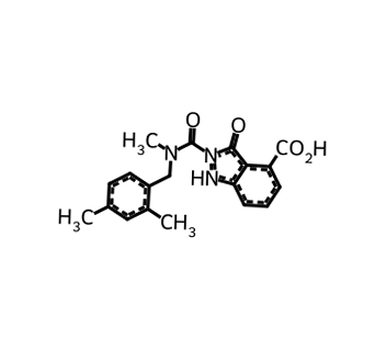 Cc1ccc(CN(C)C(=O)n2[nH]c3cccc(C(=O)O)c3c2=O)c(C)c1